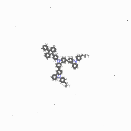 CC(C)Cc1ccc(-n2c3ccccc3c3cc(-c4ccc5c(c4)c4cc(-c6ccc7c(c6)c6ccccc6n7-c6ccc(CC(C)C)cc6)ccc4n5-c4ccc(-c5c6ccccc6c(-c6ccccc6)c6ccccc56)cc4)ccc32)cc1